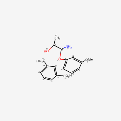 COc1cccc(OC(N)C(C)O)c1.O=C(O)c1cccc(C(=O)O)c1